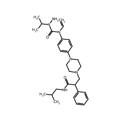 C=CN(C(=O)N(N)C(C)C)c1ccc(N2CCN(CC(C(=O)NCC(C)C)c3ccccc3)CC2)cc1